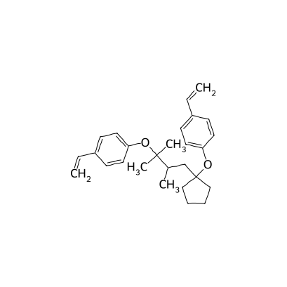 C=Cc1ccc(OC2(CC(C)C(C)(C)Oc3ccc(C=C)cc3)CCCC2)cc1